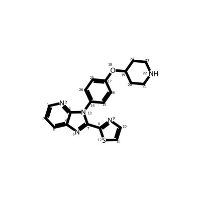 c1cnc2c(c1)nc(-c1nccs1)n2-c1ccc(OC2CCNCC2)cc1